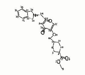 COC(=O)C1CCC(COc2coc(CN3Cc4ccccc4C3)cc2=O)CC1